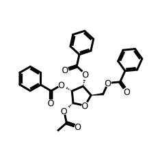 CC(=O)O[C@H]1O[C@H](COC(=O)c2ccccc2)[C@@H](OC(=O)c2ccccc2)[C@H]1OC(=O)c1ccccc1